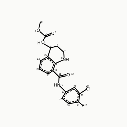 COC(=O)NC1CCNc2c(C(=O)Nc3ccc(F)c(Cl)c3)cccc21